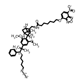 COc1cc(C(C)(C)[C@@H](CCCCCN=[N+]=[N-])c2ccccc2)cc(OC)c1[C@H]1C=C(CNC(=O)CCCCCCOc2ccc([N+](=O)[O-])c3nonc23)[C@H]2C[C@@H]1C2(C)C